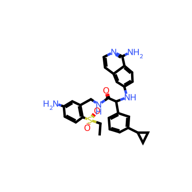 CCS(=O)(=O)c1ccc(N)cc1CNC(=O)C(Nc1ccc2c(N)nccc2c1)c1cccc(C2CC2)c1